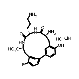 Cl.Cl.NCCC[C@@H]1NC(=O)[C@@H](N)Cc2cc(ccc2O)-c2ccc(F)c(c2)C[C@@H](C(=O)O)NC1=O